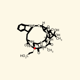 CC(O)[C@H]1NC(=O)[C@H](C)NC(=O)[C@H](CCC(=O)O)NC(=O)C2Cc3c([nH]c4ccccc34)SC[C@H](NC1=O)C(=O)N1C[C@@H](O)C[C@H]1C(=O)N[C@@H](C)C(=O)N2